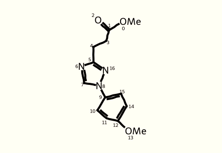 COC(=O)CCc1ncn(-c2ccc(OC)cc2)n1